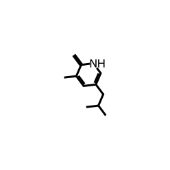 C=C1NC=C(CC(C)C)C=C1C